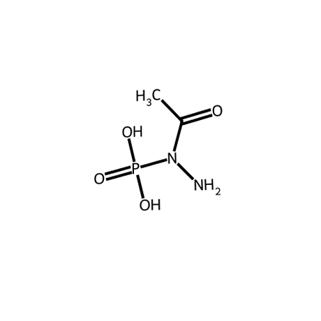 CC(=O)N(N)P(=O)(O)O